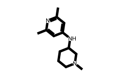 Cc1cc(NC2CCCN(C)C2)cc(C)n1